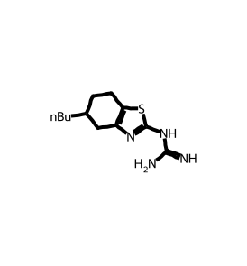 CCCCC1CCc2sc(NC(=N)N)nc2C1